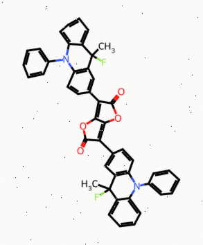 CC1(F)c2ccccc2N(c2ccccc2)c2ccc(C3=C4OC(=O)C(c5ccc6c(c5)C(C)(F)c5ccccc5N6c5ccccc5)=C4OC3=O)cc21